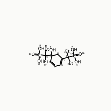 CCC(CC)(C1=CC=CC(O)(C(CC)(CC)P(=O)(O)O)C1)P(=O)(O)O